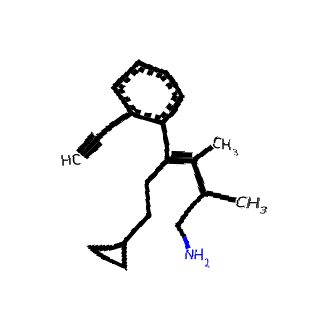 C#Cc1ccccc1/C(CCC1CC1)=C(\C)C(C)CN